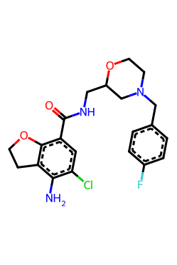 Nc1c(Cl)cc(C(=O)NCC2CN(Cc3ccc(F)cc3)CCO2)c2c1CCO2